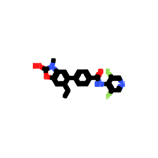 CCc1cc2c(cc1-c1ccc(C(=O)Nc3c(F)cncc3F)cc1)N(C)C(O)O2